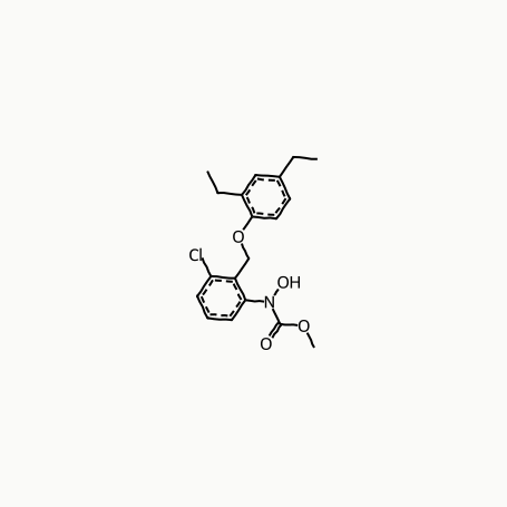 CCc1ccc(OCc2c(Cl)cccc2N(O)C(=O)OC)c(CC)c1